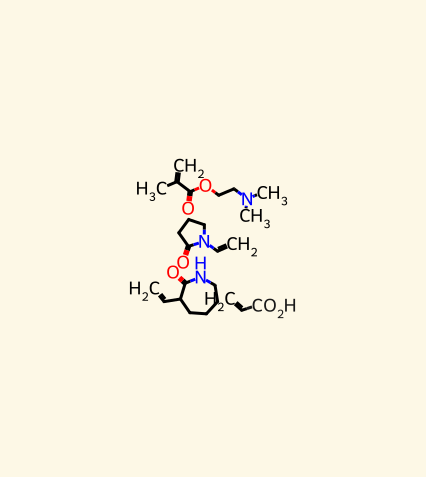 C=C(C)C(=O)OCCN(C)C.C=CC(=O)O.C=CC1CCCCNC1=O.C=CN1CCCC1=O